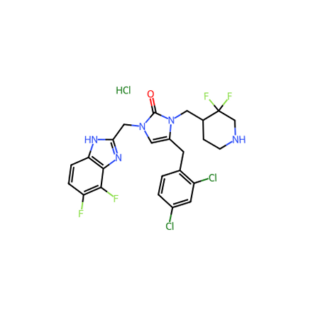 Cl.O=c1n(Cc2nc3c(F)c(F)ccc3[nH]2)cc(Cc2ccc(Cl)cc2Cl)n1CC1CCNCC1(F)F